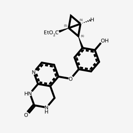 CCOC(=O)[C@@]12C[C@H]1[C@H]2c1cc(Oc2ccnc3c2CNC(=O)N3)ccc1O